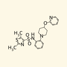 Cc1nc(S(=O)(=O)Nc2ccccc2N2CCC(Oc3ccccn3)CC2)c(C)s1